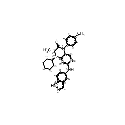 Cc1ccc(N2C(=O)[C@@H](C)N(C3CCCCC3)c3nc(Nc4ccc5[nH]ncc5c4)ncc32)cc1